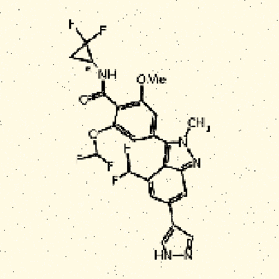 COc1cc(-c2c3c(C(F)F)cc(-c4cn[nH]c4)cc3nn2C)cc(OC(F)F)c1C(=O)N[C@@H]1CC1(F)F